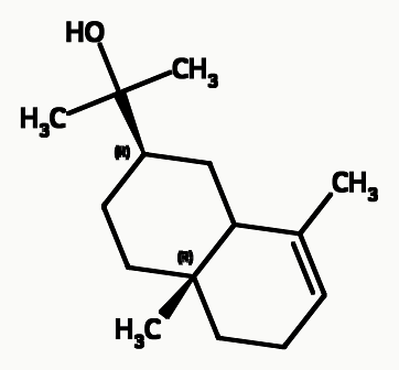 CC1=CCC[C@]2(C)CC[C@@H](C(C)(C)O)CC12